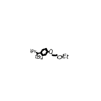 [CH2]COCCOc1ccc(C(C(C)C)C(C)(C)C)cc1